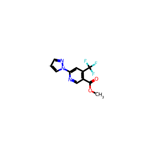 COC(=O)c1cnc(-n2c[c]cn2)cc1C(F)(F)F